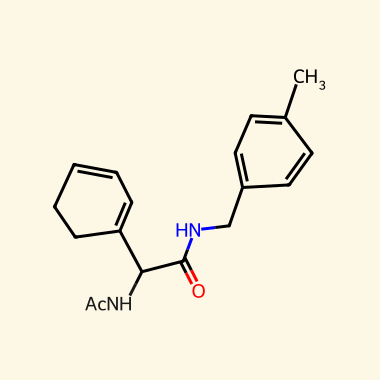 CC(=O)NC(C(=O)NCc1ccc(C)cc1)C1=CC=CCC1